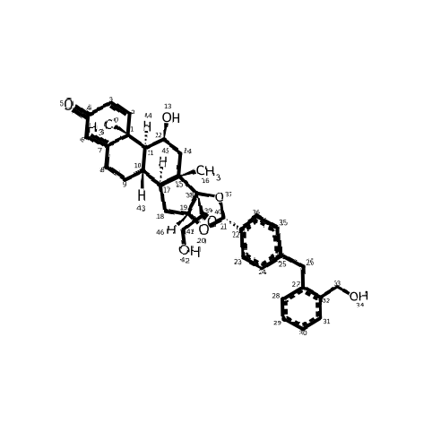 C[C@]12C=CC(=O)C=C1CC[C@@H]1[C@@H]2[C@@H](O)C[C@@]2(C)[C@H]1C[C@H]1O[C@@H](c3ccc(Cc4ccccc4CO)cc3)O[C@]12C(=O)CO